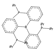 CC(C)P(C)c1ccccc1B(c1ccccc1P(C(C)C)C(C)C)c1ccccc1P(C(C)C)C(C)C